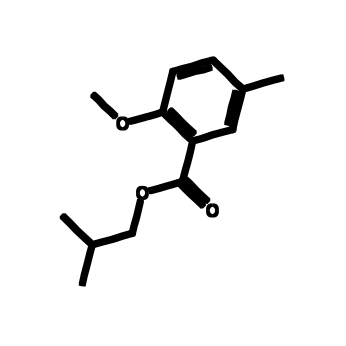 COc1ccc(C)cc1C(=O)OCC(C)C